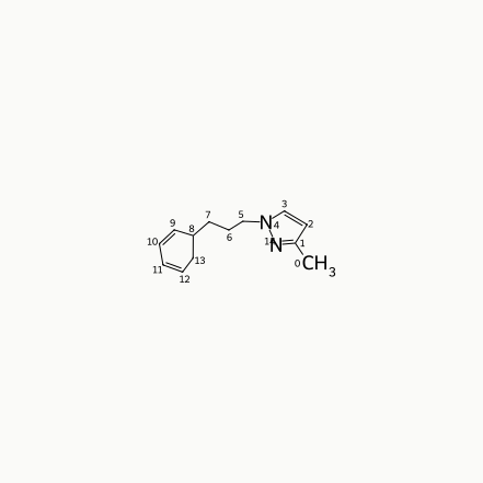 Cc1ccn(CCCC2C=CC=CC2)n1